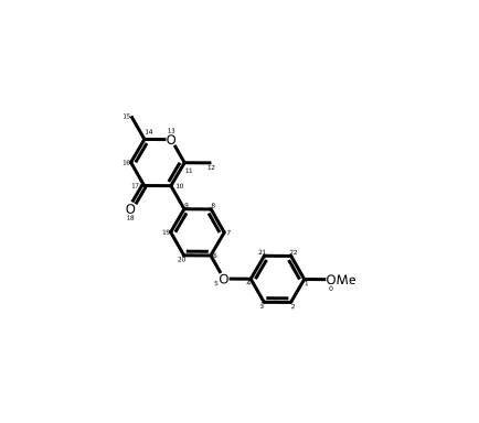 COc1ccc(Oc2ccc(-c3c(C)oc(C)cc3=O)cc2)cc1